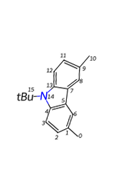 Cc1ccc2c(c1)c1cc(C)ccc1n2C(C)(C)C